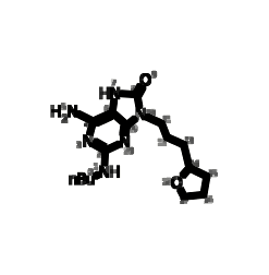 CCCCNc1nc(N)c2[nH]c(=O)n(CCCC3CCCO3)c2n1